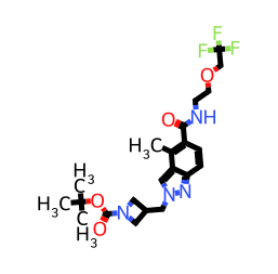 Cc1c(C(=O)NCCOCC(F)(F)F)ccc2nn(CC3CN(C(=O)OC(C)(C)C)C3)cc12